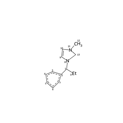 CCC(c1ccccc1)N1C=CN(C)C1